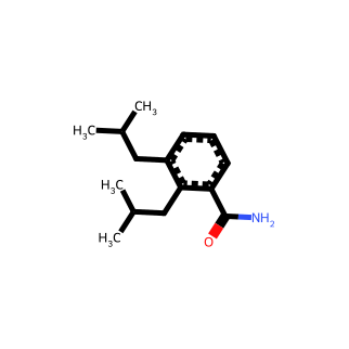 CC(C)Cc1cccc(C(N)=O)c1CC(C)C